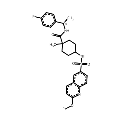 CCOc1ccc2cc(S(=O)(=O)NC3CCC(C)(C(=O)N[C@H](C)c4ccc(F)cc4)CC3)ccc2n1